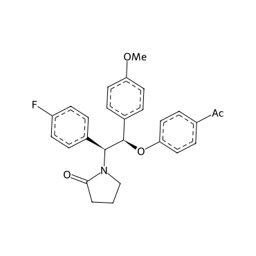 COc1ccc([C@@H](Oc2ccc(C(C)=O)cc2)[C@H](c2ccc(F)cc2)N2CCCC2=O)cc1